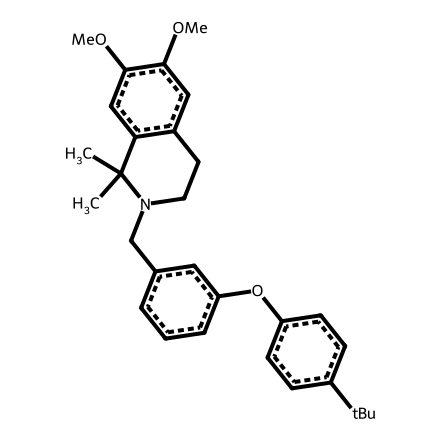 COc1cc2c(cc1OC)C(C)(C)N(Cc1cccc(Oc3ccc(C(C)(C)C)cc3)c1)CC2